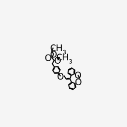 CCOC(=O)C(Cc1ccc(OCC=C2c3ccccc3OCOc3ccccc32)cc1)OC